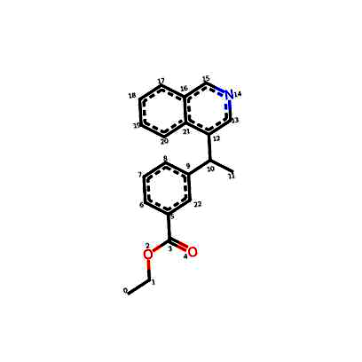 CCOC(=O)c1cccc(C(C)c2cncc3ccccc23)c1